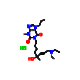 CCCn1cnc2c1c(=O)n(CCCCC(C)(O)C#CCN(CC)CC)c(=O)n2C.Cl